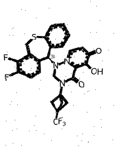 O=C1c2c(O)c(=O)ccn2N([C@@H]2c3ccccc3SCc3c2ccc(F)c3F)CN1C12CC(C(F)(F)F)(C1)C2